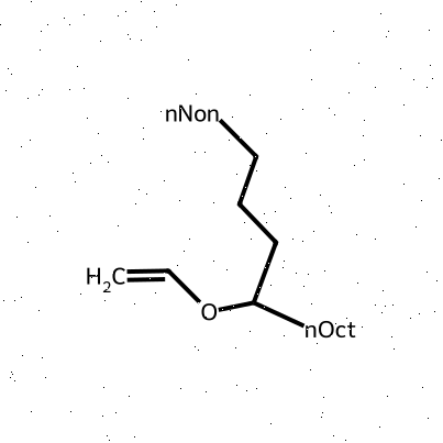 C=COC(CCCCCCCC)CCCCCCCCCCCC